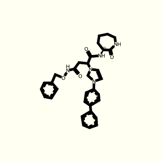 O=C(CC(C(=O)N[C@H]1CCCCNC1=O)N1C=CN(c2ccc(-c3ccccc3)cc2)C1)NOCc1ccccc1